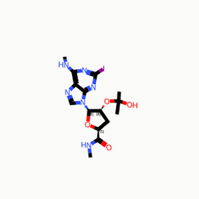 CNC(=O)[C@@H]1C[C@@H](OC(C)(C)O)[C@H](n2cnc3c(NC)nc(I)nc32)O1